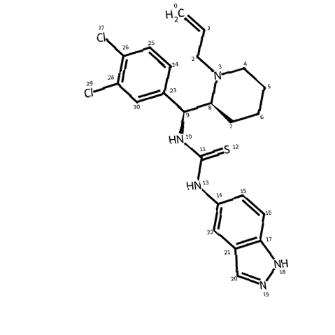 C=CCN1CCCC[C@H]1[C@@H](NC(=S)Nc1ccc2[nH]ncc2c1)c1ccc(Cl)c(Cl)c1